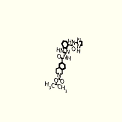 CC(C)OC(=O)N1CCc2cc(C(=O)Nc3nc4c(C(=O)Nc5ncc[nH]5)cccc4[nH]3)ccc2C1